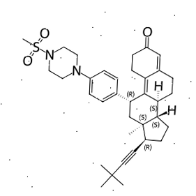 CC(C)(C)C#C[C@@H]1CC[C@H]2[C@@H]3CCC4=CC(=O)CCC4=C3[C@@H](c3ccc(N4CCN(S(C)(=O)=O)CC4)cc3)C[C@]12C